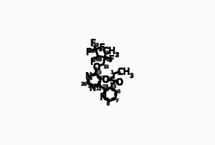 CCS(=O)(=O)c1cccnc1-c1cc(OCC(C)(F)C(F)C(F)(F)F)ncn1